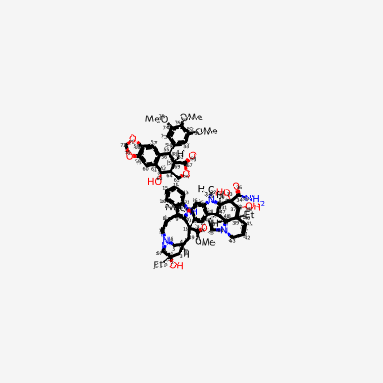 CC[C@]1(O)C[C@H]2CN(CCc3c([nH]c4ccccc34)[C@@](C(=O)OC)(c3cc4c(cc3OC)N(C)[C@H]3[C@@](O)(C(N)=O)[C@H](O)[C@]5(CC)C=CCN6CC[C@]43[C@@H]65)C2)C1.COc1cc([C@@H]2c3cc4c(cc3[C@H](O)C3COC(=O)[C@H]32)OCO4)cc(OC)c1OC